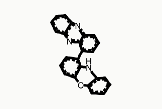 c1ccc2c(c1)Nc1c(cccc1-c1cccc3nc4ccccc4nc13)O2